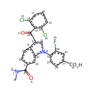 CN(C)C(=O)c1ccc2c(C(=O)c3c(Cl)cccc3Cl)cn(-c3ccc(C(=O)O)cc3F)c2c1